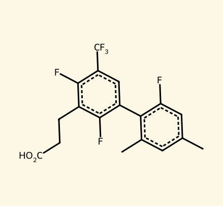 Cc1cc(C)c(-c2cc(C(F)(F)F)c(F)c(CCC(=O)O)c2F)c(F)c1